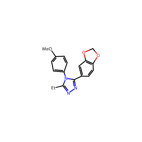 CCc1nnc(-c2ccc3c(c2)OCO3)n1-c1ccc(OC)cc1